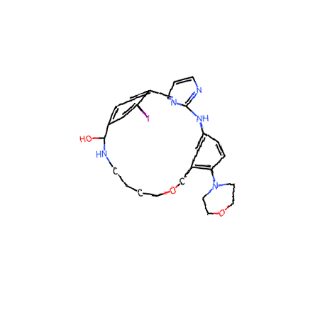 OC1NCCCCOCc2cc(ccc2N2CCOCC2)Nc2nccc(n2)-c2ccc1cc2I